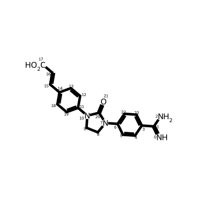 N=C(N)c1ccc(N2CCN(c3ccc(C=CC(=O)O)cc3)C2=O)cc1